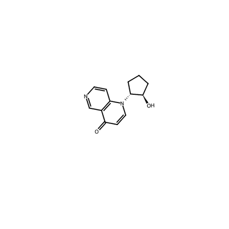 O=c1ccn([C@@H]2CCC[C@H]2O)c2ccncc12